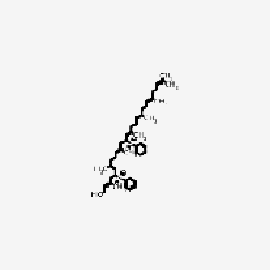 CC(C)=CCC/C(C)=C/CC/C(C)=C/CC/C(C)=C/C(C/C(C)=C/CC/C(C)=C/C(C/C(C)=C/CO)S(=O)(=O)c1ccccc1)S(=O)(=O)c1ccccc1